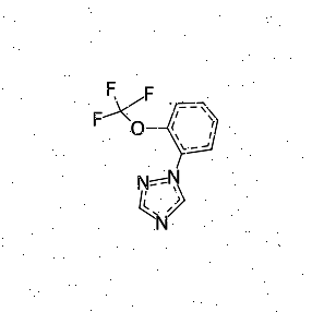 FC(F)(F)Oc1[c]cccc1-n1cncn1